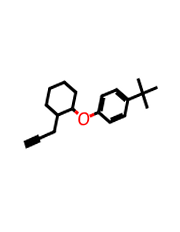 C#CCC1CCCCC1Oc1ccc(C(C)(C)C)cc1